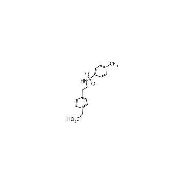 O=C(O)Cc1ccc(CCNS(=O)(=O)c2ccc(C(F)(F)F)cc2)cc1